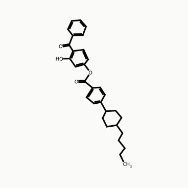 CCCCCC1CCC(c2ccc(C(=O)Oc3ccc(C(=O)c4cc[c]cc4)c(O)c3)cc2)CC1